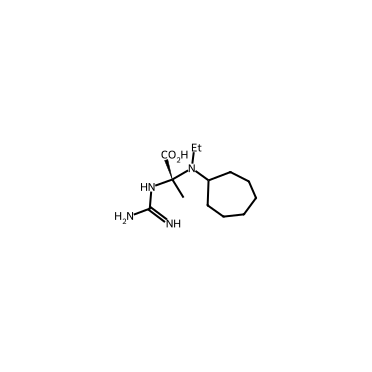 CCN(C1CCCCCC1)[C@](C)(NC(=N)N)C(=O)O